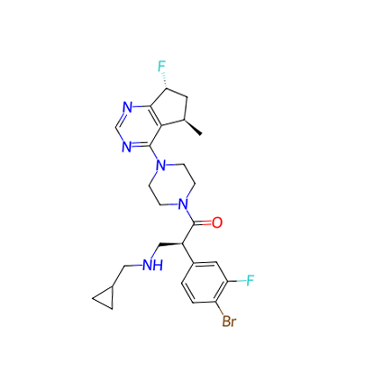 C[C@@H]1C[C@@H](F)c2ncnc(N3CCN(C(=O)[C@H](CNCC4CC4)c4ccc(Br)c(F)c4)CC3)c21